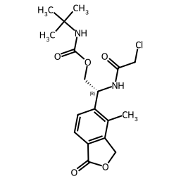 Cc1c([C@H](COC(=O)NC(C)(C)C)NC(=O)CCl)ccc2c1COC2=O